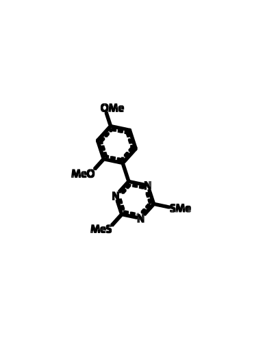 COc1ccc(-c2nc(SC)nc(SC)n2)c(OC)c1